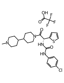 CN1CCC(C2CCN(C(=O)[C@@H](NC(=O)Nc3ccc(Cl)cc3)c3cccs3)CC2)CC1.O=C(O)C(F)(F)F